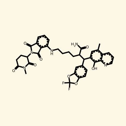 Cc1cc(C(c2ccc3c(c2)OC(F)(F)O3)C(CCCCNc2cccc3c2C(=O)N(C2CCC(=O)N(C)C2=O)C3=O)C(N)=O)c(O)c2ncccc12